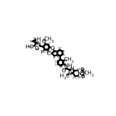 COc1cc(OC2CCc3c(-c4cccc(NC(=O)c5nc6c(n5C)CCN(S(C)(=O)=O)C6)c4C)cccc32)c(Cl)c(F)c1CNC1(C(=O)O)CC1